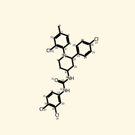 Cc1ccc(N2CCC(NC(=O)Nc3ccc(Cl)c(Cl)c3)CC2c2ccc(Cl)cc2)c(Cl)c1